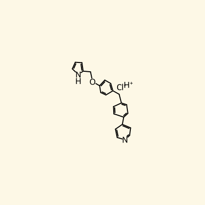 [Cl-].[H+].c1c[nH]c(COc2ccc(Cc3ccc(-c4ccncc4)cc3)cc2)c1